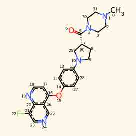 CN1CCN(C(=O)[C@@H]2CCN(c3ccc(Oc4ccnc5c(F)cncc45)cc3)C2)CC1